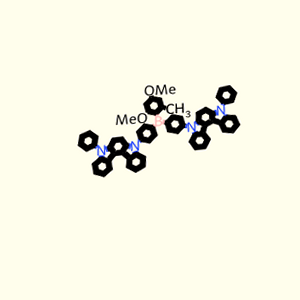 COc1cc(C)c(B(c2ccc(-n3c4ccccc4c4c5c6ccccc6n(-c6ccccc6)c5ccc43)cc2)c2ccc(-n3c4ccccc4c4c5c6ccccc6n(-c6ccccc6)c5ccc43)cc2)c(OC)c1